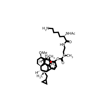 CO[C@]12CC[C@@]3(C[C@@H]1C(C)(C)O)[C@H]1Cc4ccc(OC(=O)N(C)CCNC(=O)[C@H](CCCCN)NC(C)=O)c5c4[C@@]3(CC[N+]1(C)CC1CC1)[C@H]2O5